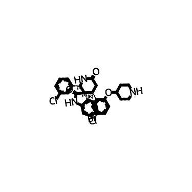 O=C1C[C@H](c2cc(Br)ccc2OC2CCNCC2)[C@@]2(C(=O)Nc3cc(Cl)ccc32)[C@H](c2cccc(Cl)c2)N1